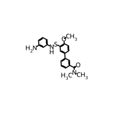 COc1ccc(-c2cccc(C(=O)N(C)C)c2)cc1SNc1cccc(N)c1